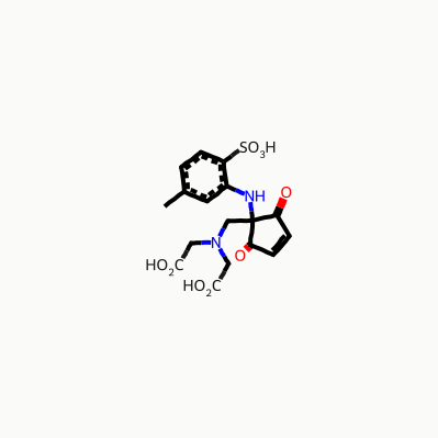 Cc1ccc(S(=O)(=O)O)c(NC2(CN(CC(=O)O)CC(=O)O)C(=O)C=CC2=O)c1